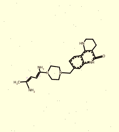 C/C(N)=C/C=C(\N)N1CCN(Cc2ccc3c4c(c(=O)[nH]c3c2)CCCN4)CC1